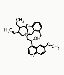 C=CC1C[N+](Cc2c(F)cccc2F)(C[C@H](O)c2ccnc3ccc(OC)cc23)CCC1CC